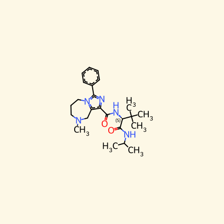 CC(C)NC(=O)[C@@H](NC(=O)c1nc(-c2ccccc2)n2c1CN(C)CCC2)C(C)(C)C